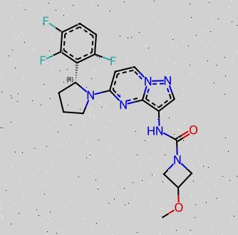 COC1CN(C(=O)Nc2cnn3ccc(N4CCC[C@@H]4c4c(F)ccc(F)c4F)nc23)C1